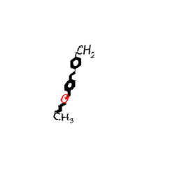 C=C[C@H]1CC[C@H](CCc2ccc(COC/C=C/CC)cc2)CC1